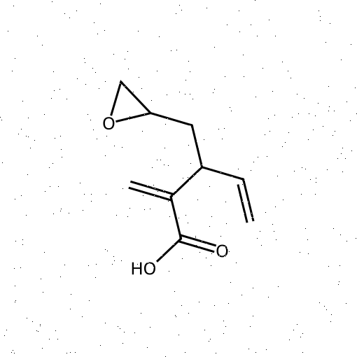 C=CC(CC1CO1)C(=C)C(=O)O